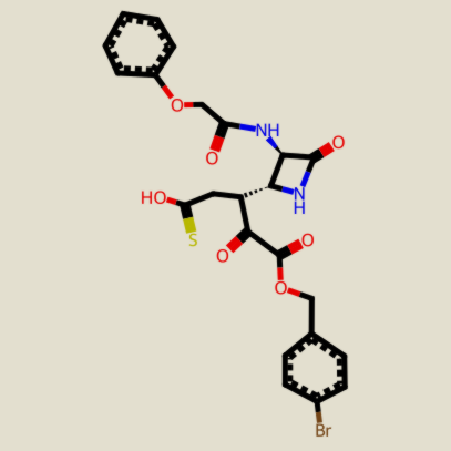 O=C(COc1ccccc1)N[C@H]1C(=O)N[C@@H]1C(CC(O)=S)C(=O)C(=O)OCc1ccc(Br)cc1